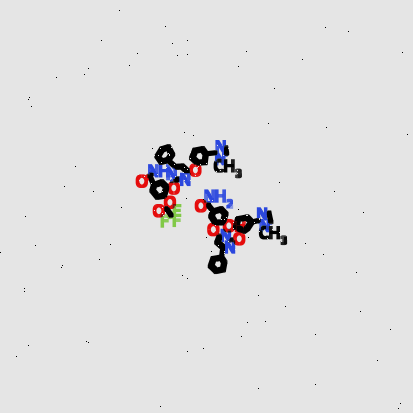 CN1CCN=C1c1cccc(Oc2cc(-c3ccccc3)nc(Oc3cc(C(N)=O)ccc3OC(=O)C(F)(F)F)n2)c1.CN1CCN=C1c1cccc(Oc2nc(Oc3cc(C(N)=O)ccc3O)cc(-c3ccccc3)n2)c1